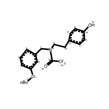 CCCCOc1cccc(CN(CCc2ccc(O)cc2)C(=O)C(F)(F)F)c1